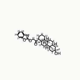 C[C@@]1(O)CC[C@@]2(C)[C@@H](CC[C@@H]3[C@@H]2CC[C@]2(C)[C@@H](C(=O)COc4nc5ccccc5o4)CCC[C@@H]32)C1